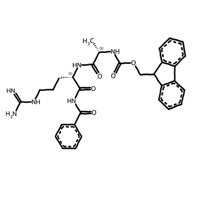 C[C@H](NC(=O)OCC1c2ccccc2-c2ccccc21)C(=O)N[C@@H](CCCNC(=N)N)C(=O)NC(=O)c1ccccc1